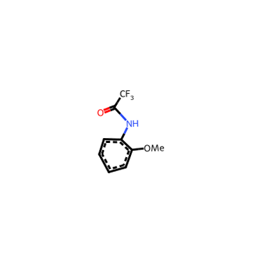 COc1ccccc1NC(=O)C(F)(F)F